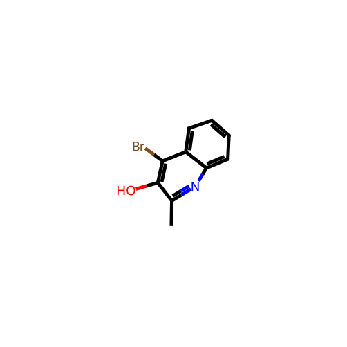 Cc1nc2ccccc2c(Br)c1O